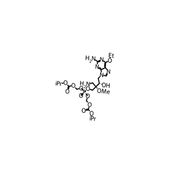 CCOc1nc(N)nc2c1ncn2C[C@H](O)[C@@](CN)(COP(=O)(OCOC(=O)OC(C)C)OCOC(=O)OC(C)C)OC